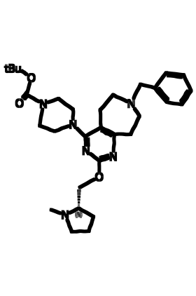 CN1CCC[C@H]1COc1nc2c(c(N3CCN(C(=O)OC(C)(C)C)CC3)n1)CCN(Cc1ccccc1)CC2